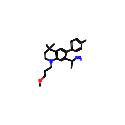 COCCCN1CCC(C)(C)c2cc(-c3ccc(C)cc3)c(C(C)N)cc21